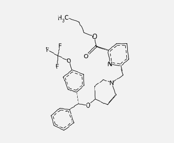 CCCOC(=O)c1cccc(CN2CCC(OC(c3ccccc3)c3ccc(OC(F)(F)F)cc3)CC2)n1